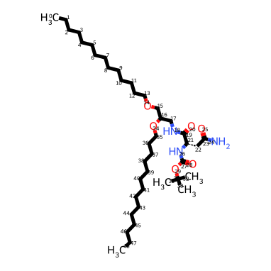 CCCCCCCCCCCCCCOCC(CNC(=O)[C@H](CC(N)=O)NC(=O)OC(C)(C)C)OCCCCCCCCCCCCCC